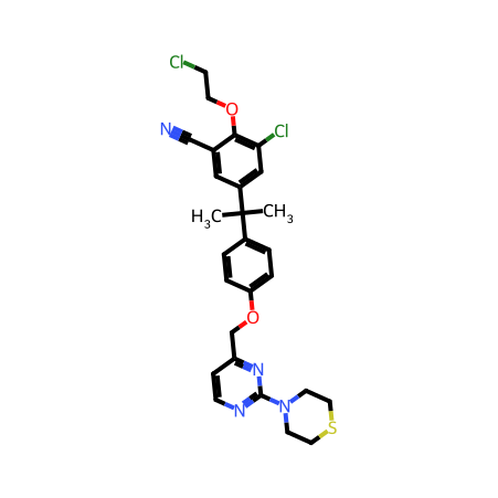 CC(C)(c1ccc(OCc2ccnc(N3CCSCC3)n2)cc1)c1cc(Cl)c(OCCCl)c(C#N)c1